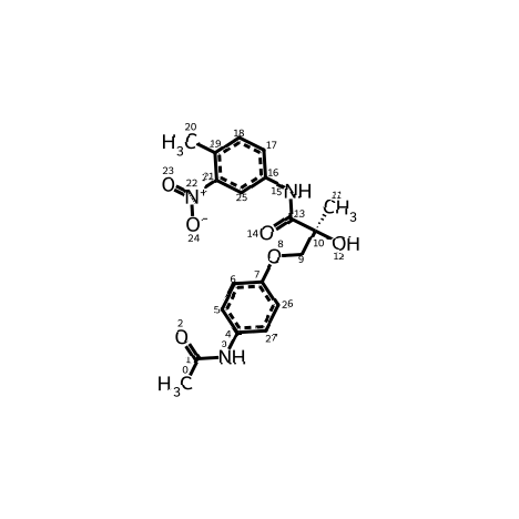 CC(=O)Nc1ccc(OC[C@](C)(O)C(=O)Nc2ccc(C)c([N+](=O)[O-])c2)cc1